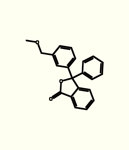 COCc1cccc(C2(c3ccccc3)OC(=O)c3ccccc32)c1